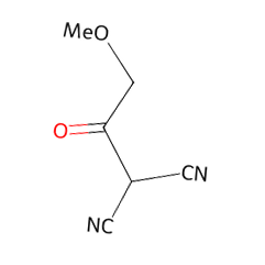 COCC(=O)C(C#N)C#N